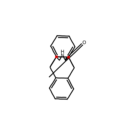 O=C1NCC2C3c4ccccc4C(c4ccccc43)C12